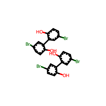 Oc1ccc(Br)cc1-c1cc(Br)ccc1O.Oc1ccc(Br)cc1-c1cc(Br)ccc1O